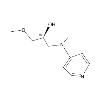 COC[C@@H](O)CN(C)c1ccncc1